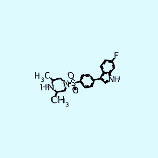 CC1CN(S(=O)(=O)c2ccc(-c3c[nH]c4cc(F)ccc34)cc2)CC(C)N1